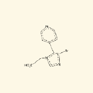 O=C(O)Cn1cnc(Br)c1-c1ccncc1